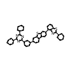 c1ccc(-c2nc(-c3ccccc3)nc(-c3cccc(-c4ccc5c(c4)sc4cc(-c6cccc7sc(-c8ccccc8)nc67)ccc45)c3)n2)cc1